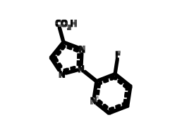 O=C(O)c1cnn(-c2ncccc2F)n1